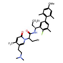 CCOC(=O)C[C@H](NC(=O)C(CC(C)C)n1cc(CCN(C)C)c(C(F)(F)F)cc1=O)c1cc(-c2c(C)cc(OC)cc2C)cc(C)c1F